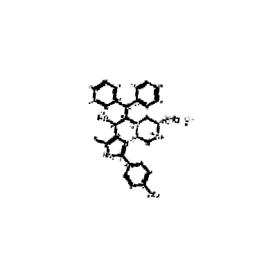 Cc1[nH]c(-c2ccc(C(C)(C)C)cc2)nc1C(O)C(C(c1ccccc1)c1ccccc1)N1CCNCC1.Cl.Cl.Cl